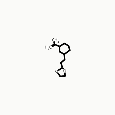 C=C(C)C1CCCC(CCC2OCCO2)C1